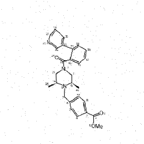 COC(=O)c1ccc(CN2[C@H](C)CN(C(=O)c3ccccc3-c3cccnc3)C[C@@H]2C)cc1